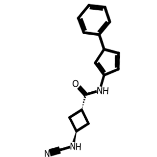 N#CN[C@H]1C[C@H](C(=O)NC2=CC(c3ccccc3)C=C2)C1